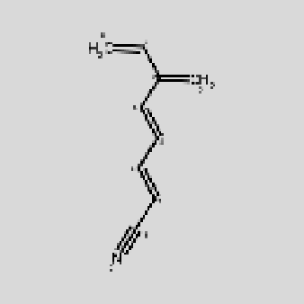 C=CC(=C)C=CC=CC#N